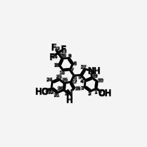 Oc1ccc2c(C(c3ccc(C(F)(F)F)cc3)c3c[nH]c4cc(O)ccc34)c[nH]c2c1